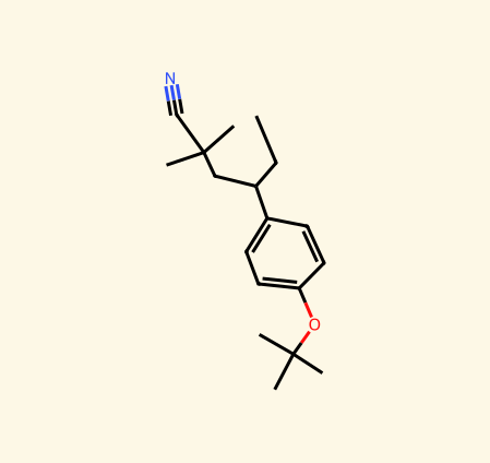 CCC(CC(C)(C)C#N)c1ccc(OC(C)(C)C)cc1